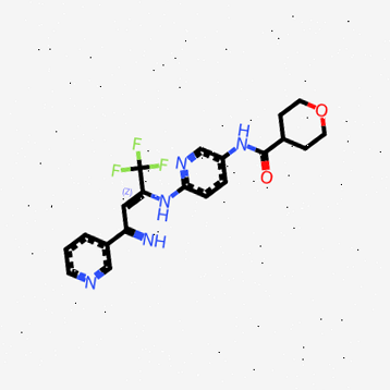 N=C(/C=C(\Nc1ccc(NC(=O)C2CCOCC2)cn1)C(F)(F)F)c1cccnc1